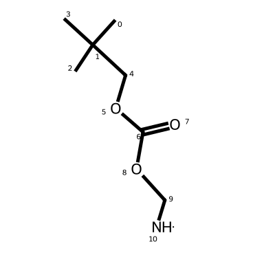 CC(C)(C)COC(=O)OC[NH]